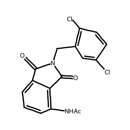 CC(=O)Nc1cccc2c1C(=O)N(Cc1cc(Cl)ccc1Cl)C2=O